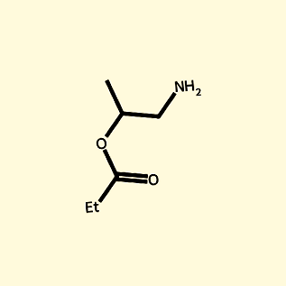 CCC(=O)OC(C)CN